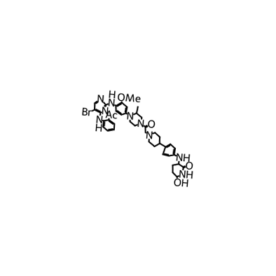 COc1cc(N2CCN(C(=O)CN3CCC(c4ccc(NC5CCC(O)NC5=O)cc4)CC3)CC2C)ccc1Nc1ncc(Br)c(Nc2ccccc2C(C)=O)n1